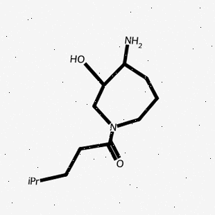 CC(C)CCC(=O)N1CCCC(N)C(O)C1